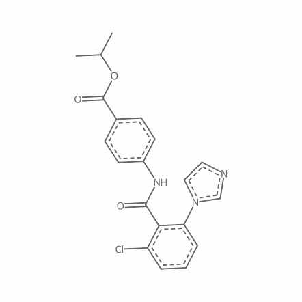 CC(C)OC(=O)c1ccc(NC(=O)c2c(Cl)cccc2-n2ccnc2)cc1